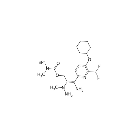 CCCN(C)C(=O)OC/C(=C(/N)c1ccc(OC2CCCCC2)c(C(F)F)n1)N(C)N